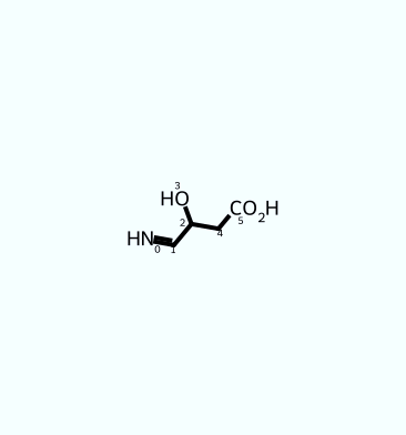 N=CC(O)CC(=O)O